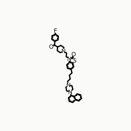 O=C(c1ccc(F)cc1)C1CCN(CCn2c(=O)sc3cc(CCCCN4CCN(c5cccc6ccccc56)CC4)ccc32)CC1